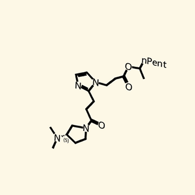 CCCCCC(C)OC(=O)CCn1ccnc1CCC(=O)N1CC[C@H](N(C)C)C1